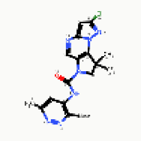 CNc1nnc(C(F)(F)F)cc1NC(=O)N1CC(C)(C(F)(F)F)c2c1cnc1cc(Cl)nn21